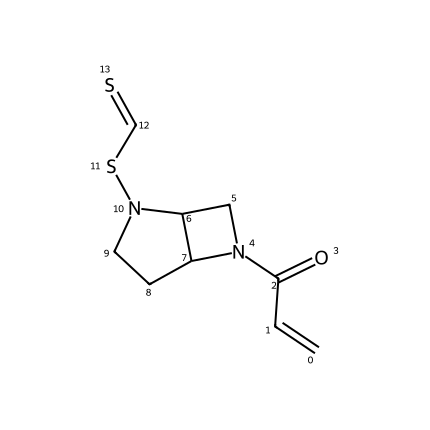 C=CC(=O)N1CC2C1CCN2SC=S